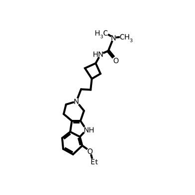 CCOc1cccc2c3c([nH]c12)CN(CCC1CC(NC(=O)N(C)C)C1)CC3